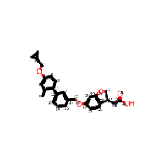 Cc1cc(OCC2CC2)ccc1-c1cccc(COc2ccc3c(c2)OCC3CC(=O)O)c1